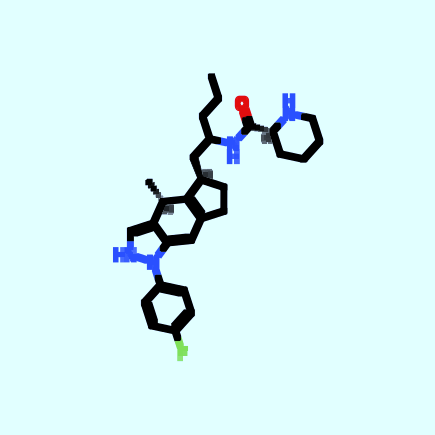 CCCC(C[C@H]1CCC2=C1[C@@H](C)C1=CNN(c3ccc(F)cc3)C1=C2)NC(=O)[C@H]1CCCCN1